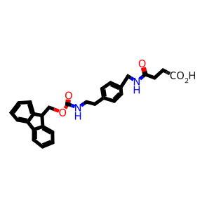 O=C(O)CCC(=O)NCc1ccc(CCNC(=O)OCC2c3ccccc3-c3ccccc32)cc1